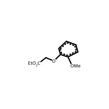 CCOC(=O)COc1cc[c]cc1OC